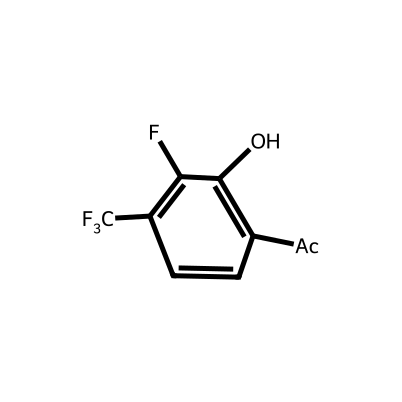 CC(=O)c1ccc(C(F)(F)F)c(F)c1O